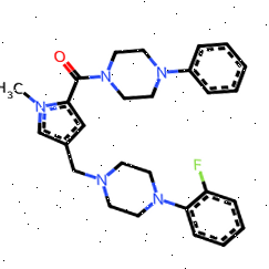 Cn1cc(CN2CCN(c3ccccc3F)CC2)cc1C(=O)N1CCN(c2ccccc2)CC1